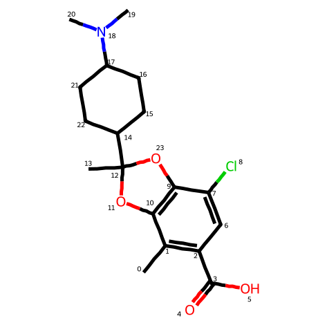 Cc1c(C(=O)O)cc(Cl)c2c1OC(C)(C1CCC(N(C)C)CC1)O2